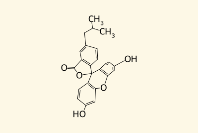 CC(C)Cc1ccc2c(c1)C(=O)OC21c2ccc(O)cc2Oc2cc(O)ccc21